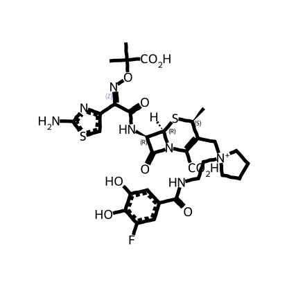 C[C@@H]1S[C@@H]2[C@H](NC(=O)/C(=N\OC(C)(C)C(=O)O)c3csc(N)n3)C(=O)N2C(C(=O)O)=C1C[N+]1(CCNC(=O)c2cc(O)c(O)c(F)c2)CCCC1